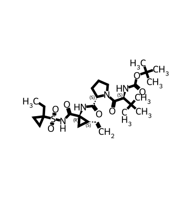 C=C[C@@H]1C[C@]1(NC(=O)[C@@H]1CCCN1C(=O)[C@@H](NC(=O)OC(C)(C)C)C(C)(C)C)C(=O)NS(=O)(=O)C1(CC)CC1